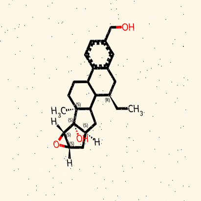 CC[C@@H]1Cc2cc(CO)ccc2C2CC[C@@]3(C)C(C[C@H]4C[C@@H]5O[C@@H]5[C@]43O)C21